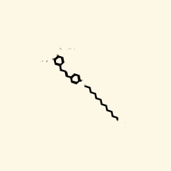 CCCCCCCCCCCCCCCCCCCCCCSc1ccc(C=CC(=O)c2ccc(OCCCCCC)c(OCCCCCC)c2)cc1